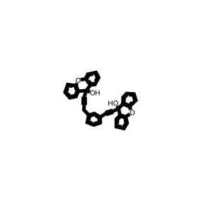 OC1(C#CCc2cccc(C#CC3(O)c4ccccc4Oc4ccccc43)c2)c2ccccc2Oc2ccccc21